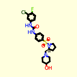 O=C(Nc1ccc(S(=O)(=O)N2CCC[C@H]2CN2CCC(O)CC2)cc1)Nc1ccc(F)c(Cl)c1